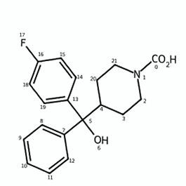 O=C(O)N1CCC(C(O)(c2ccccc2)c2ccc(F)cc2)CC1